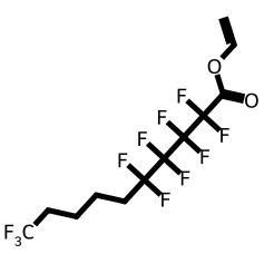 C=COC(=O)C(F)(F)C(F)(F)C(F)(F)C(F)(F)CCCCC(F)(F)F